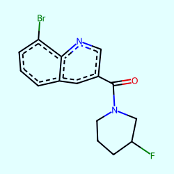 O=C(c1cnc2c(Br)cccc2c1)N1CCCC(F)C1